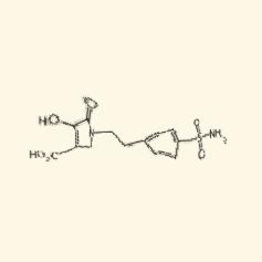 NS(=O)(=O)c1ccc(CCN2CC(C(=O)O)=C(O)C2=O)cc1